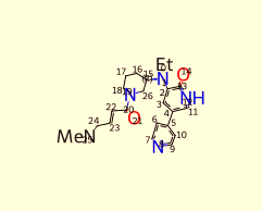 CCN(c1cc(-c2ccncc2)c[nH]c1=O)[C@@H]1CCCN(C(=O)C=CCNC)C1